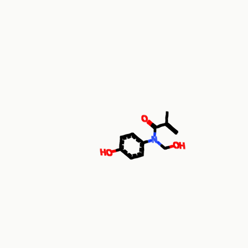 C=C(C)C(=O)N(CO)c1ccc(O)cc1